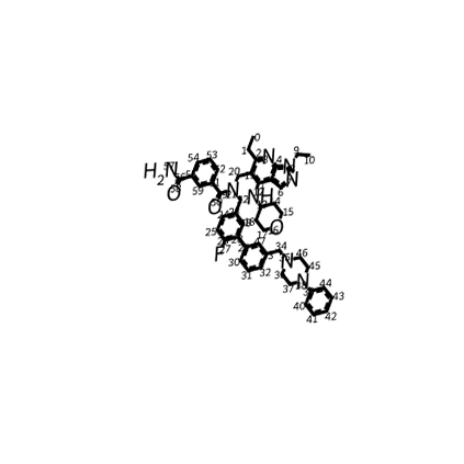 CCc1nc2c(cnn2CC)c(NC2CCOCC2)c1CN(Cc1ccc(F)c(-c2cccc(CN3CCN(c4ccccc4)CC3)c2)c1)C(=O)c1cccc(C(N)=O)c1